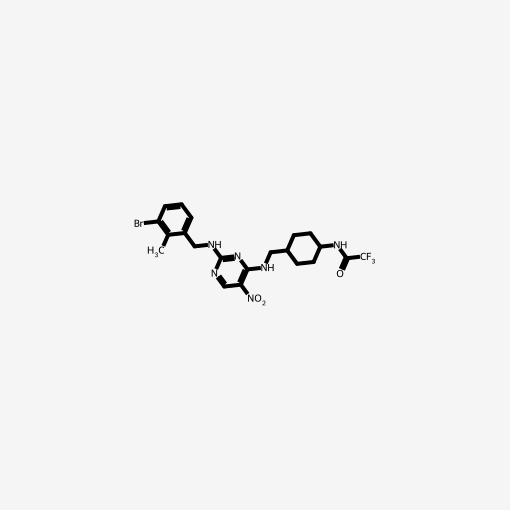 Cc1c(Br)cccc1CNc1ncc([N+](=O)[O-])c(NCC2CCC(NC(=O)C(F)(F)F)CC2)n1